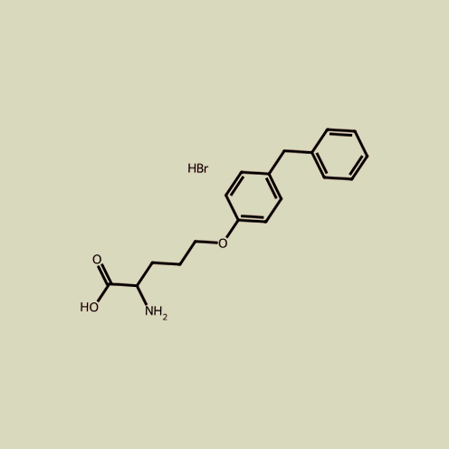 Br.NC(CCCOc1ccc(Cc2ccccc2)cc1)C(=O)O